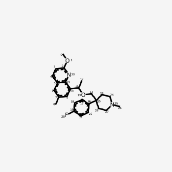 COc1ccc2cc(C)cc(C(C)OCC3(c4ccc(F)cc4)CCN(C)CC3)c2n1